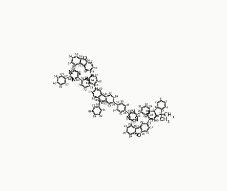 CC1(C)c2ccccc2-c2ccc(-c3ccc4oc5cccc(-c6nc(-c7ccccc7)nc(-c7ccc(-c8ccc9c%10cc(-c%11ccc(-c%12ccc%13oc%14cccc(-c%15nc(-c%16ccccc%16)nc(-c%16ccccc%16)n%15)c%14c%13c%12)nc%11)ccc%10n(-c%10ccccc%10)c9c8)cc7)n6)c5c4c3)cc21